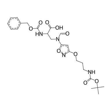 CC(C)(C)OC(=O)NCCCOc1cc(N(C=O)CC(NC(=O)OCc2ccccc2)C(=O)O)on1